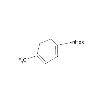 CCCCCCC1=CC=C(C(F)(F)F)CC1